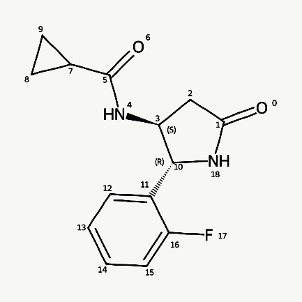 O=C1C[C@H](NC(=O)C2CC2)[C@@H](c2ccccc2F)N1